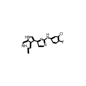 C=C/C=c1/c(-c2ccnc(Nc3ccc(F)c(Cl)c3)n2)c[nH]/c1=C/N